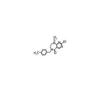 CCc1ncc2c(n1)N(C)CCN(Cc1ccc(C)cc1)C2=O